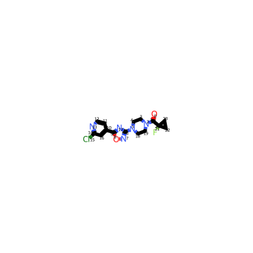 O=C(N1CCN(c2noc(-c3ccnc(Cl)c3)n2)CC1)C1(F)CC1